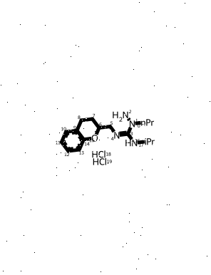 CCCN(N)C(=NCC1CCc2ccccc2O1)NC(C)C.Cl.Cl